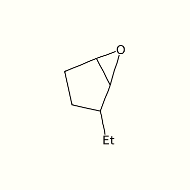 CCC1CCC2OC12